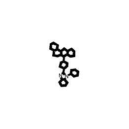 c1ccc(-n2c(-c3ccc(-c4c5ccccc5cc5c4ccc4ccccc45)cc3)nc3ccccc32)cc1